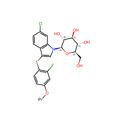 CC(C)Oc1ccc(Sc2cn([C@@H]3O[C@H](CO)[C@@H](O)[C@H](O)[C@H]3O)c3cc(Cl)ccc23)c(F)c1